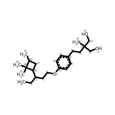 CCC(CCOc1ccc(CCC(N)(CO)CO)cc1)C1CC(C)C1(C)C